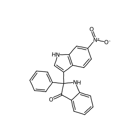 O=C1c2ccccc2NC1(c1ccccc1)c1c[nH]c2cc([N+](=O)[O-])ccc12